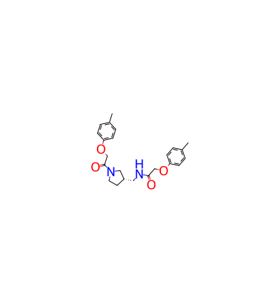 Cc1ccc(OCC(=O)NC[C@@H]2CCN(C(=O)COc3ccc(C)cc3)C2)cc1